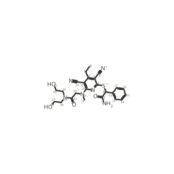 CCc1c(C#N)c(SC(C(N)=O)c2ccccc2)nc(N(C)CC(=O)N(CCO)CCO)c1C#N